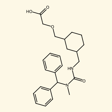 CN(C(=O)NCC1CCCC(COCC(=O)O)C1)C(c1ccccc1)c1ccccc1